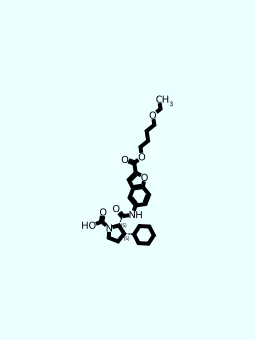 CCOCCCCOC(=O)c1cc2cc(NC(=O)[C@@H]3[C@H](C4CCCCC4)CCN3C(=O)O)ccc2o1